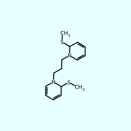 CSC1C=CC=CN1CCCN1C=CC=CC1SC